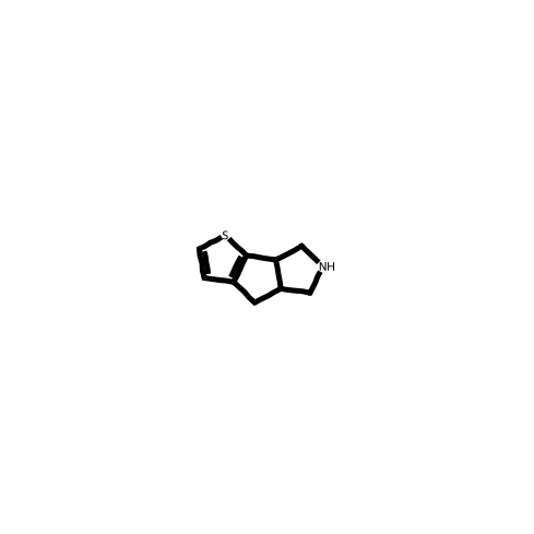 c1cc2c(s1)C1CNCC1C2